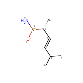 CC(C)C=C[C@@H](C)[S+](N)[O-]